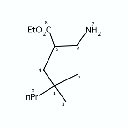 CCCC(C)(C)CC(CN)C(=O)OCC